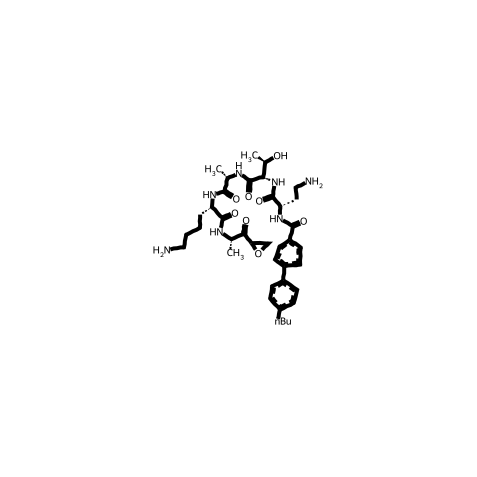 CCCCc1ccc(-c2ccc(C(=O)N[C@@H](CCN)C(=O)N[C@H](C(=O)N[C@@H](C)C(=O)N[C@@H](CCCCN)C(=O)N[C@@H](C)C(=O)C3CO3)[C@@H](C)O)cc2)cc1